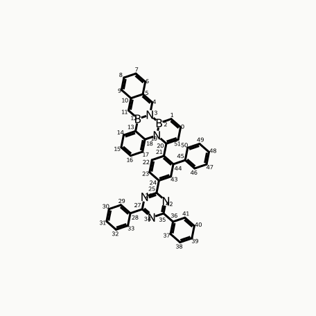 C1=CB2N3C=c4ccccc4=CB3c3ccccc3N2C(c2ccc(-c3nc(-c4ccccc4)nc(-c4ccccc4)n3)cc2-c2ccccc2)=C1